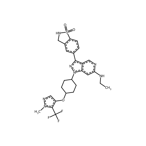 CCNc1cc2c(cn1)c(-c1ccc3c(c1)CNS3(=O)=O)nn2C1CCC(Oc2cnn(C)c2C(F)(F)F)CC1